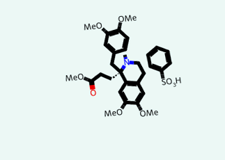 COC(=O)CC[C@@]1(Cc2ccc(OC)c(OC)c2)c2cc(OC)c(OC)cc2CCN1C.O=S(=O)(O)c1ccccc1